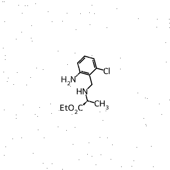 CCOC(=O)[C@H](C)NCc1c(N)cccc1Cl